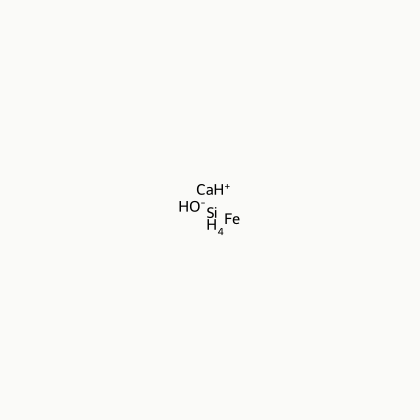 [CaH+].[Fe].[OH-].[SiH4]